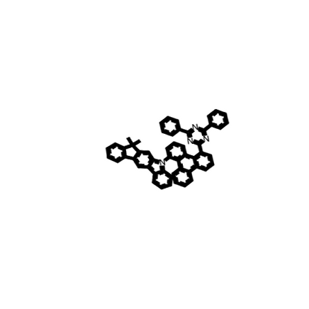 CC1(C)c2ccccc2-c2cc3c4ccccc4n(-c4cccc5c6c(-c7nc(-c8ccccc8)nc(-c8ccccc8)n7)cccc6c6ccccc6c45)c3cc21